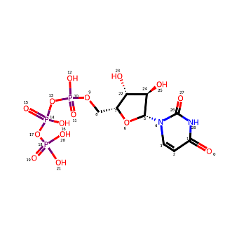 O=c1ccn([C@@H]2O[C@H](COP(=O)(O)OP(=O)(O)OP(=O)(O)O)[C@H](O)[C@H]2O)c(=O)[nH]1